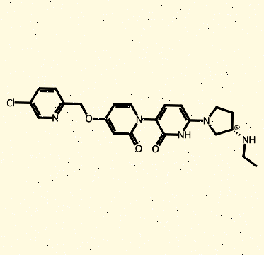 CCN[C@H]1CCN(c2ccc(-n3ccc(OCc4ccc(Cl)cn4)cc3=O)c(=O)[nH]2)C1